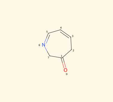 O=C1CC=CC=NC1